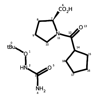 CC(C)(C)ONC(N)=O.O=C(O)[C@@H]1CCCN1C(=O)C1CCCC1